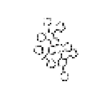 CC1(c2ccccc2)c2ccccc2-c2c(N(c3ccccc3-c3ccc4c(c3)c(-c3ccccc3)c(-c3ccccc3)c3ccccc34)c3ccc(-c4ccccc4)cc3-c3ccccc3)cccc21